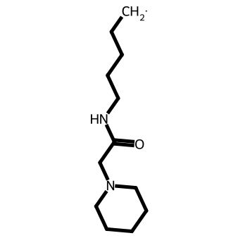 [CH2]CCCCNC(=O)CN1CCCCC1